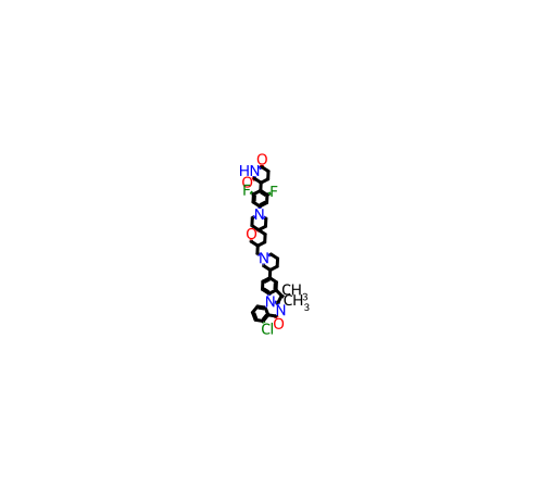 CC1(C)c2cc(C3CCCN(CC4CCC5(CCN(c6cc(F)c(C7CCC(=O)NC7=O)c(F)c6)CC5)OC4)C3)ccc2-n2c1nc(=O)c1c(Cl)cccc12